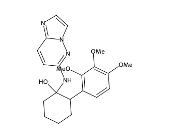 COc1ccc(C2CCCCC2(O)Nc2ccc3nccn3n2)c(OC)c1OC